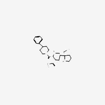 CN1C[C@@H]([C@]2(CO)CCCN2C(=O)O)C[C@H](C(=O)NO)[C@H]1C(=O)N1CCC(c2ccccc2)CC1